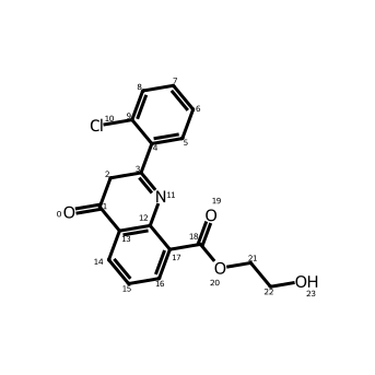 O=C1CC(c2ccccc2Cl)=Nc2c1cccc2C(=O)OCCO